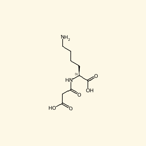 NCCCC[C@H](NC(=O)CC(=O)O)C(=O)O